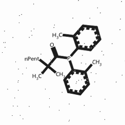 CCCCCC(C)(C)C(=O)P(c1ccccc1C)c1ccccc1C